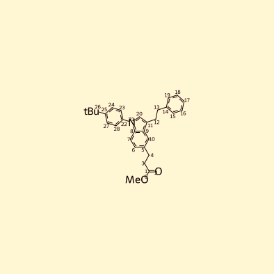 COC(=O)CCc1ccc2c(c1)c(CCc1ccccc1)cn2-c1ccc(C(C)(C)C)cc1